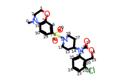 CN1CCOc2cc(S(=O)(=O)N3CCC(N4C(=O)OCc5c(Cl)cccc54)CC3)ccc21